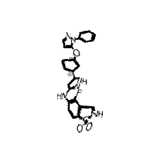 O=S1(=O)NCc2c1ccc(Nc1cc([C@H]3CC[C@@H](Oc4ccnn4-c4ccccc4)C3)[nH]n1)c2F